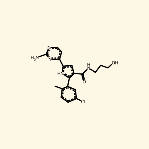 Cc1ccc(Cl)cc1-c1[nH]c(-c2ccnc(N)n2)cc1C(=O)NCCCO